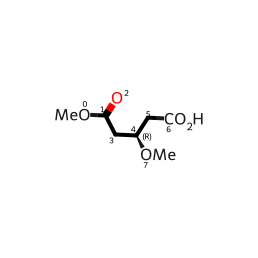 COC(=O)C[C@@H](CC(=O)O)OC